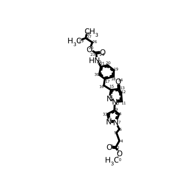 COC(=O)CCCn1cc(-n2ccc(=O)c(Cc3cccc(NC(=O)OCC(C)C)c3)n2)cn1